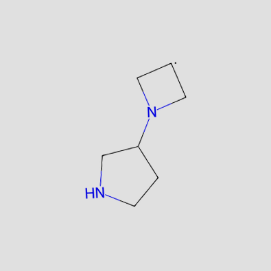 [CH]1CN(C2CCNC2)C1